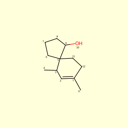 CC1=CC(C)C2(CCCC2O)CC1